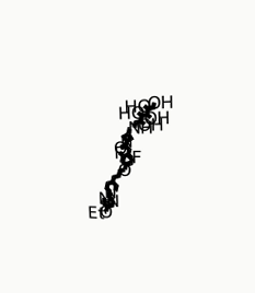 CCOc1cnc(N2CCC(CCCOc3cc(F)c(CC(=O)N4CC(CNCC(O)C(O)C(O)C(O)CO)C4)c(F)c3)CC2)nc1